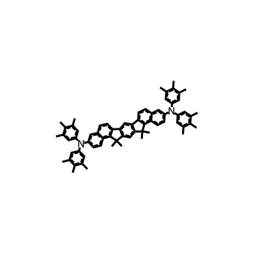 Cc1cc(N(c2cc(C)c(C)c(C)c2)c2ccc3c4c(ccc3c2)-c2cc3c(cc2C4(C)C)C(C)(C)c2c-3ccc3cc(N(c4cc(C)c(C)c(C)c4)c4cc(C)c(C)c(C)c4)ccc23)cc(C)c1C